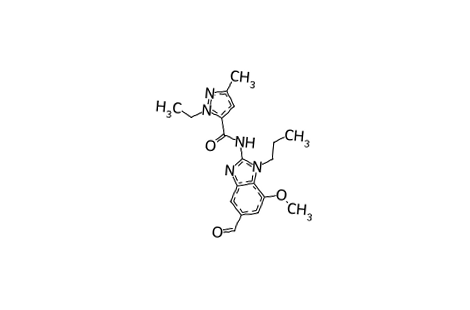 CCCn1c(NC(=O)c2cc(C)nn2CC)nc2cc(C=O)cc(OC)c21